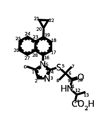 Cc1cnc(SC(C)(C)C(=O)NC(C)C(=O)O)n1-c1ccc(C2CC2)c2ccccc12